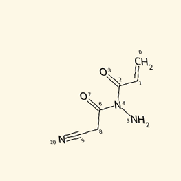 C=CC(=O)N(N)C(=O)CC#N